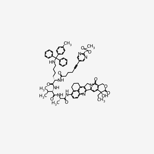 CC[C@@]1(O)C(=O)OCc2c1cc1n(c2=O)Cc2c-1nc1ccc(NC(=O)[C@H](C)NC(=O)[C@@H](NC(=O)[C@H](CCCCNC(c3ccccc3)(c3ccccc3)c3ccc(C)cc3)NC(=O)CCCC#Cc3cnc(S(C)(=O)=O)nc3)C(C)C)c3c1c2CCC3